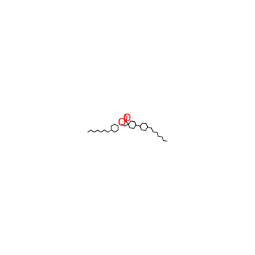 CCCCCCCC1CCC(C2CCC(CC[C@H]3CC[C@H](CCCCCCC)CC3)(C(=O)OC)CC2)CC1